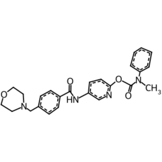 CN(C(=O)Oc1ccc(NC(=O)c2ccc(CN3CCOCC3)cc2)cn1)c1ccccc1